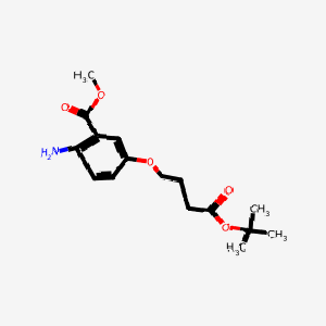 COC(=O)c1cc(OCCCC(=O)OC(C)(C)C)ccc1N